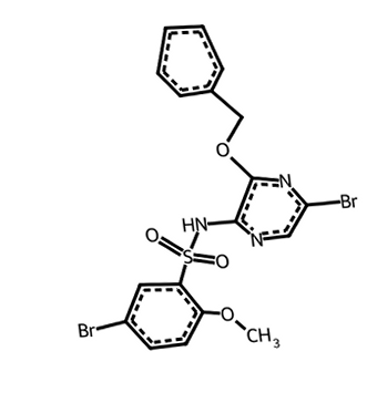 COc1ccc(Br)cc1S(=O)(=O)Nc1ncc(Br)nc1OCc1ccccc1